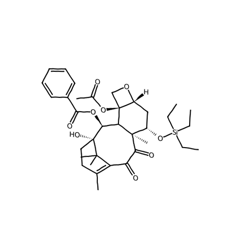 CC[Si](CC)(CC)O[C@H]1C[C@H]2OC[C@@]2(OC(C)=O)C2[C@H](OC(=O)c3ccccc3)[C@]3(O)CCC(C)=C(C(=O)C(=O)[C@@]21C)C3(C)C